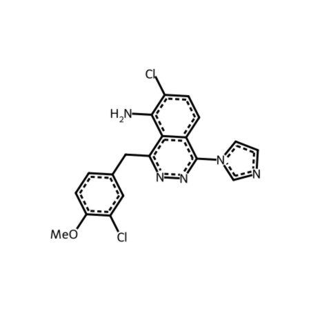 COc1ccc(Cc2nnc(-n3ccnc3)c3ccc(Cl)c(N)c23)cc1Cl